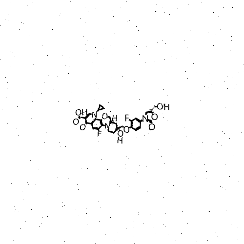 O=C(O)c1cn(C2CC2)c2c3c(c(F)cc2c1=O)N1CC[C@](O)(COc2ccc(N4C[C@H](CO)OC4=O)cc2F)C[C@H]1CO3